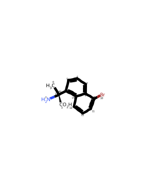 C[C@](N)(C(=O)O)c1cccc2c(Br)cccc12